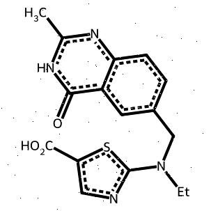 CCN(Cc1ccc2nc(C)[nH]c(=O)c2c1)c1ncc(C(=O)O)s1